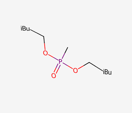 CCC(C)COP(C)(=O)OCC(C)CC